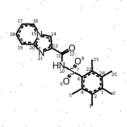 Cc1c(C)c(C)c(S(=O)(=O)NC(=O)c2cn3ccccc3n2)c(C)c1C